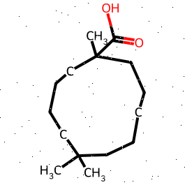 CC1(C)CCCCCC(C)(C(=O)O)CCCC1